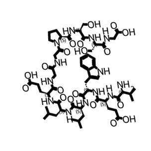 CC(C)C[C@H](NC(=O)[C@H](CC(C)C)NC(=O)[C@H](Cc1c[nH]c2ccccc12)NC(=O)[C@H](CCC(=O)O)NC(=O)[C@@H](N)C(C)C)C(=O)N[C@@H](CCC(=O)O)C(=O)NCC(=O)NCC(=O)N1CCC[C@H]1C(=O)N[C@@H](CO)C(=O)N[C@@H](CO)C(=O)NCC(=O)O